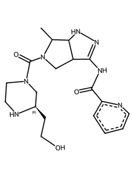 CC1C2NN=C(NC(=O)c3ccccn3)C2CN1C(=O)N1CCN[C@H](CCO)C1